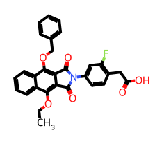 CCOc1c2c(c(OCc3ccccc3)c3ccccc13)C(=O)N(c1ccc(CC(=O)O)c(F)c1)C2=O